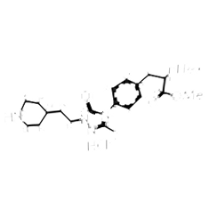 CCCCCCC(Cc1ccc(-n2c(C)nn(CCC3CCNCC3)c2=O)cc1)C(=O)OC.Cl